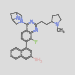 Bc1cc(-c2ccc3c(N4CC5CC(C4)N5)nc(CCC4CCCN4C)nc3c2F)c2ccccc2c1